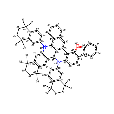 CC1(C)CCC(C)(C)c2cc(N3B4c5cc6c(cc5N(c5ccc7c(c5)C(C)(C)CCC7(C)C)c5c4c(cc4ccccc54)-c4c3ccc3c4oc4ccccc43)C(C)(C)CCC6(C)C)ccc21